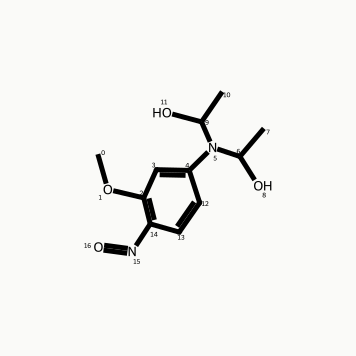 COc1cc(N(C(C)O)C(C)O)ccc1N=O